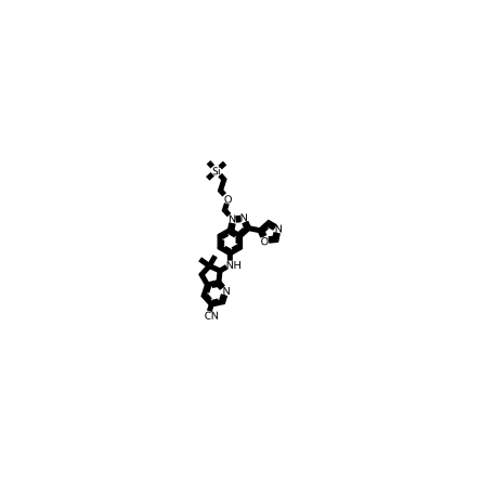 CC1(C)Cc2cc(C#N)cnc2C1Nc1ccc2c(c1)c(-c1cnco1)nn2COCC[Si](C)(C)C